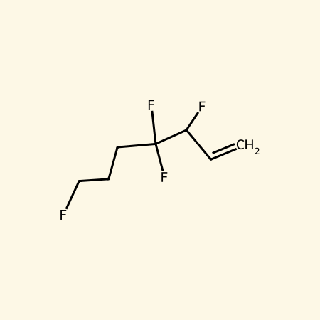 C=CC(F)C(F)(F)CCCF